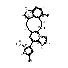 CCc1cc(-c2cc3c(n4cnnc24)NCc2c(F)ccc4c2[C@@H](CO4)CO3)n(C)n1